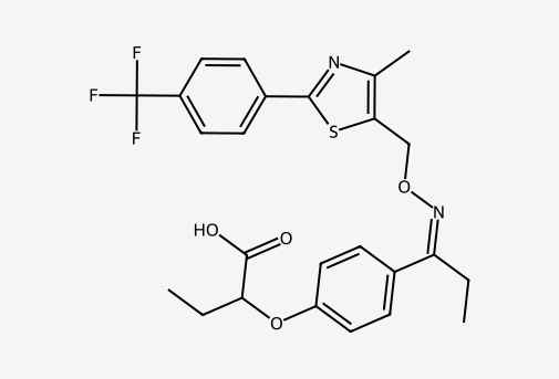 CCC(=NOCc1sc(-c2ccc(C(F)(F)F)cc2)nc1C)c1ccc(OC(CC)C(=O)O)cc1